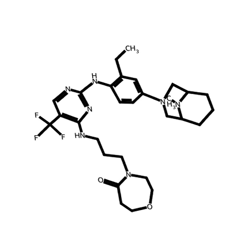 CCc1cc(N2CC3CCCC(C2)N3C)ccc1Nc1ncc(C(F)(F)F)c(NCCCN2CCOCCC2=O)n1